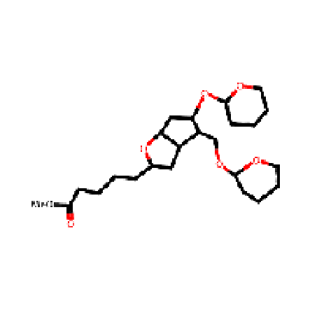 COC(=O)CCCCC1CC2C(CC(OC3CCCCO3)C2COC2CCCCO2)O1